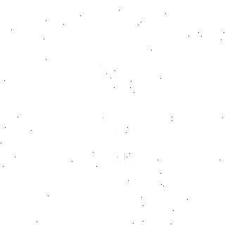 C=CC(=O)OCCNS